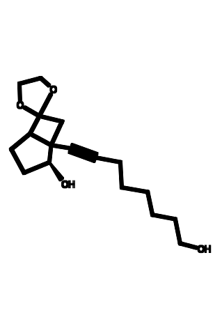 OCCCCCCC#CC12CC3(OCCO3)C1CC[C@@H]2O